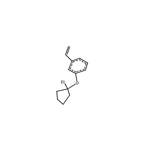 C=Cc1cccc(OC2(CC)CCCC2)c1